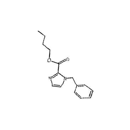 CCCCOC(=O)c1nccn1Cc1ccccc1